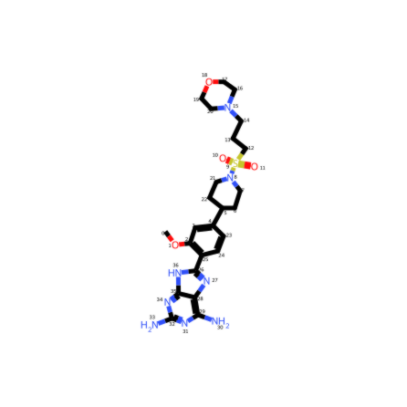 COc1cc(C2CCN(S(=O)(=O)CCCN3CCOCC3)CC2)ccc1-c1nc2c(N)nc(N)nc2[nH]1